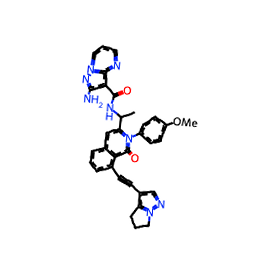 COc1ccc(-n2c(C(C)NC(=O)c3c(N)nn4cccnc34)cc3cccc(C#Cc4cnn5c4CCC5)c3c2=O)cc1